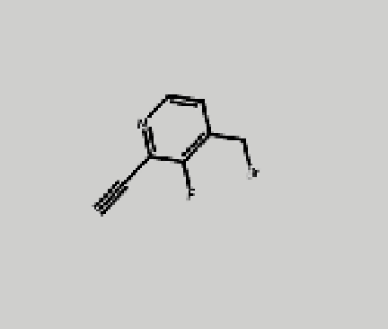 C#Cc1nccc(CBr)c1F